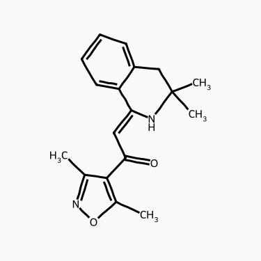 Cc1noc(C)c1C(=O)/C=C1\NC(C)(C)Cc2ccccc21